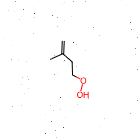 C=C(C)CCOO